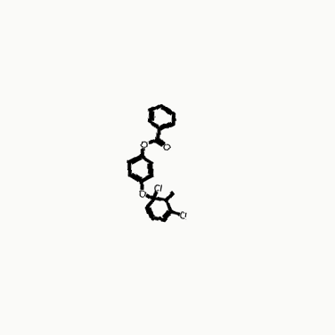 CC1C(Cl)=CC=CC1(Cl)Oc1ccc(OC(=O)c2ccccc2)cc1